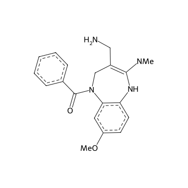 CNC1=C(CN)CN(C(=O)c2ccccc2)c2cc(OC)ccc2N1